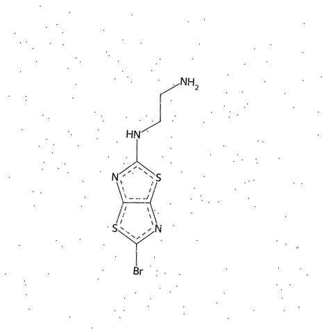 NCCNc1nc2sc(Br)nc2s1